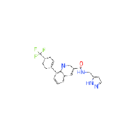 O=C(NCc1ccn[nH]1)c1cnc2c(C3=CCC(C(F)(F)F)CC3)cccc2c1